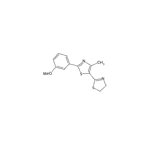 COc1cccc(-c2nc(C)c(C3=NCCS3)s2)c1